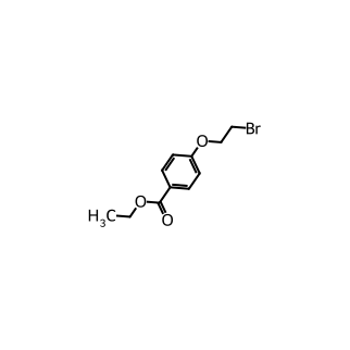 CCOC(=O)c1ccc(OCCBr)cc1